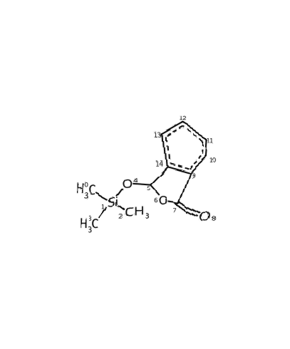 C[Si](C)(C)OC1OC(=O)c2ccccc21